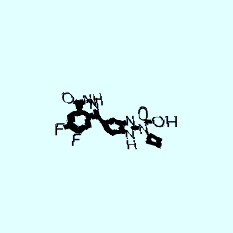 O=C(O)N(c1nc2cc(-c3n[nH]c(=O)c4cc(F)c(F)cc34)ccc2[nH]1)C1CCC1